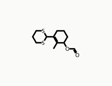 CC1=C(C2SCCCS2)CCCC1OC=O